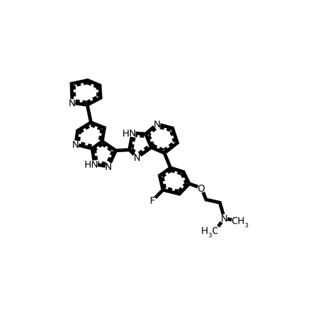 CN(C)CCOc1cc(F)cc(-c2ccnc3[nH]c(-c4n[nH]c5ncc(-c6ccccn6)cc45)nc23)c1